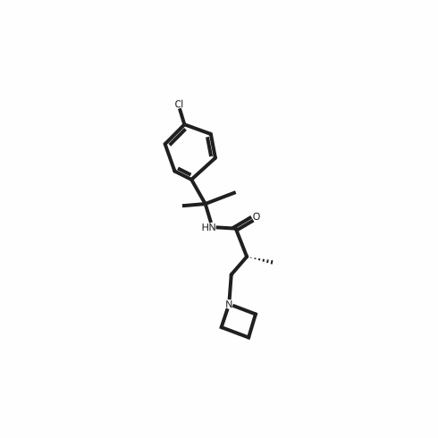 C[C@H](CN1CCC1)C(=O)NC(C)(C)c1ccc(Cl)cc1